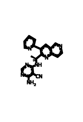 C[C@H](Nc1ncnc(N)c1C#N)c1nc2ccncc2cc1-c1ccccn1